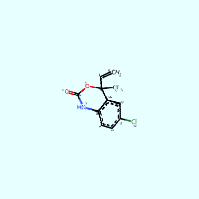 C=CC1(C(F)(F)F)OC(=O)Nc2ccc(Cl)cc21